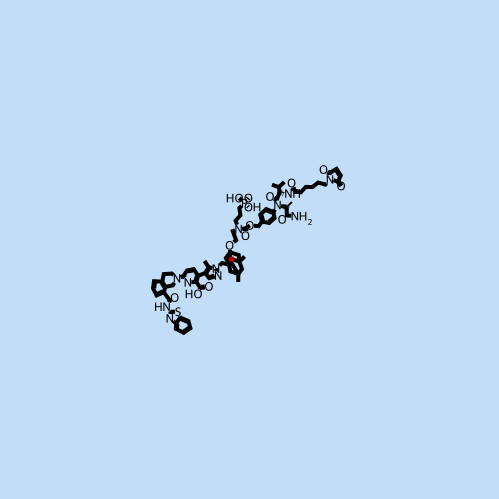 Cc1c(-c2ccc(N3CCc4cccc(C(=O)Nc5nc6ccccc6s5)c4C3)nc2C(=O)O)cnn1CC12CC3(C)CC(C)(C1)CC(OCCN(CCCP(=O)(O)O)C(=O)OCc1ccc(N(C(=O)[C@@H](NC(=O)CCCCCN4C(=O)C=CC4=O)C(C)C)[C@@H](C)C(N)=O)cc1)(C3)C2